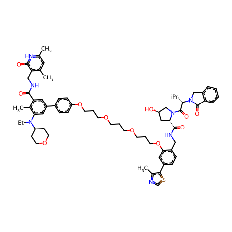 CCN(c1cc(-c2ccc(OCCCOCCCOCCCOc3cc(-c4scnc4C)ccc3CNC(=O)[C@@H]3C[C@@H](O)CN3C(=O)[C@H](C(C)C)N3Cc4ccccc4C3=O)cc2)cc(C(=O)NCc2c(C)cc(C)[nH]c2=O)c1C)C1CCOCC1